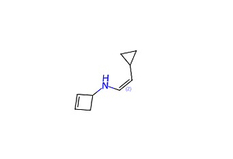 C1=CC(N/C=C\C2CC2)C1